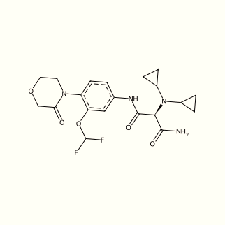 NC(=O)[C@@H](C(=O)Nc1ccc(N2CCOCC2=O)c(OC(F)F)c1)N(C1CC1)C1CC1